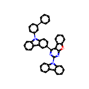 c1ccc(-c2cccc(-n3c4ccccc4c4cc(-c5nc(-n6c7ccccc7c7ccccc76)nc6oc7ccccc7c56)ccc43)c2)cc1